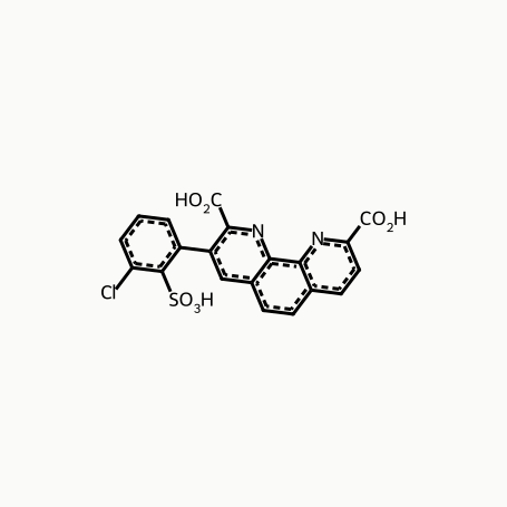 O=C(O)c1ccc2ccc3cc(-c4cccc(Cl)c4S(=O)(=O)O)c(C(=O)O)nc3c2n1